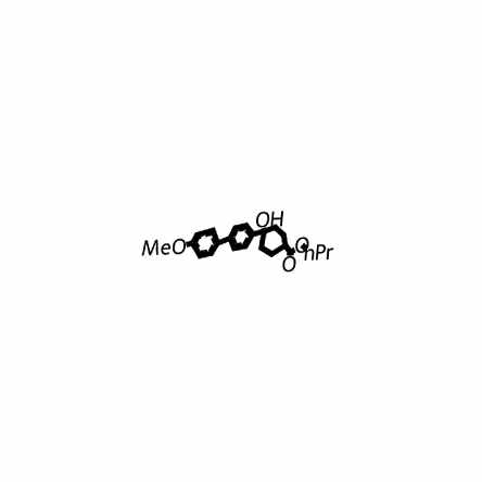 CCCOC(=O)C1CCC(O)(c2ccc(-c3ccc(OC)cc3)cc2)CC1